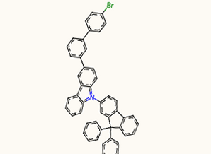 Brc1ccc(-c2cccc(-c3ccc4c(c3)c3ccccc3n4-c3ccc4c(c3)C(c3ccccc3)(c3ccccc3)c3ccccc3-4)c2)cc1